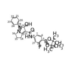 CC1(C)OB(c2ccc(NC(=O)C3=C4CCCN4N(c4ccccc4)C3O)cc2F)OC1(C)C